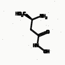 N[C@@H](CC(=O)NO)C(=O)O